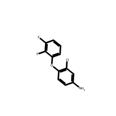 Nc1ccc(Oc2cccc(F)c2F)c(Cl)c1